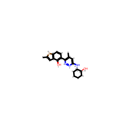 Cc1cc2c(O)c(-c3nnc(N[C@H]4CCCC[C@@H]4O)cc3C)ccc2s1